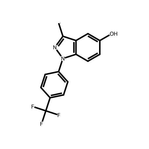 [CH2]c1nn(-c2ccc(C(F)(F)F)cc2)c2ccc(O)cc12